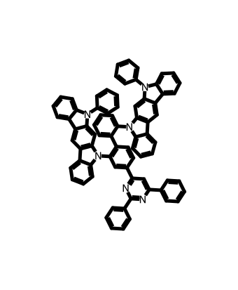 c1ccc(-c2cc(-c3ccc(-c4ccccc4-n4c5ccccc5c5cc6c7ccccc7n(-c7ccccc7)c6cc54)c(-n4c5ccccc5c5cc6c7ccccc7n(-c7ccccc7)c6cc54)c3)nc(-c3ccccc3)n2)cc1